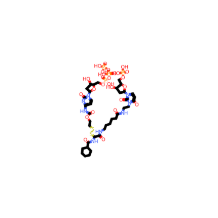 O=C(CCCCCNC(=O)C(NC(=O)C1CCCCC1)SSCCOC(=O)Nc1ccn(C2CC(O)C(COP(=O)(O)OP(=O)(O)OP(=O)(O)O)O2)c(=O)n1)NCCn1c(=O)ccn(C2CC(O)C(COP(=O)(O)O)O2)c1=O